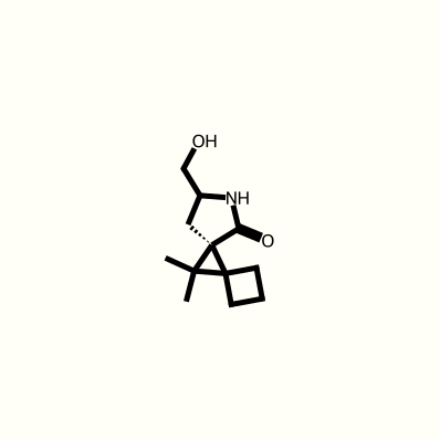 CC1(C)C2(CCC2)[C@@]12CC(CO)NC2=O